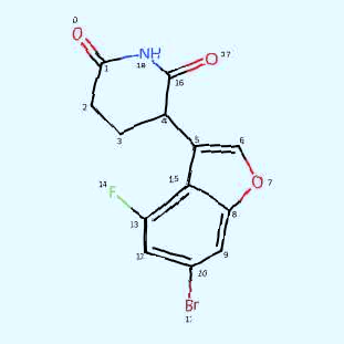 O=C1CCC(c2coc3cc(Br)cc(F)c23)C(=O)N1